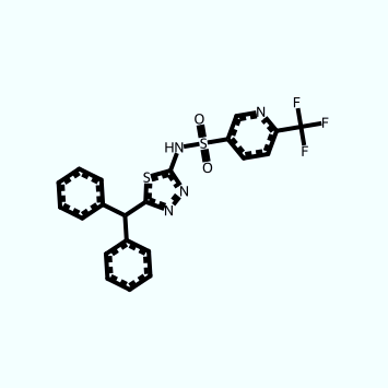 O=S(=O)(Nc1nnc(C(c2ccccc2)c2ccccc2)s1)c1ccc(C(F)(F)F)nc1